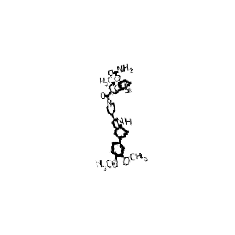 COc1ccc(-c2ccc3[nH]c(C4CCN(C(=O)[C@H](Cc5cccs5)CC(C)(C)OC(N)=O)CC4)cc3c2)cc1OC